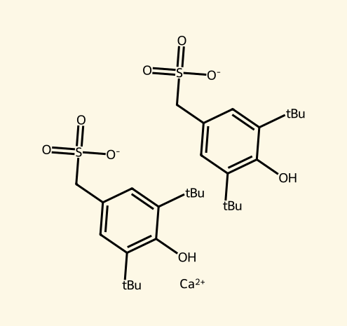 CC(C)(C)c1cc(CS(=O)(=O)[O-])cc(C(C)(C)C)c1O.CC(C)(C)c1cc(CS(=O)(=O)[O-])cc(C(C)(C)C)c1O.[Ca+2]